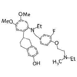 CCN(C)CCOc1ccc(CN(CC)c2cc(OC)c(OC)cc2C2CCc3cc(O)ccc3C2)cc1F